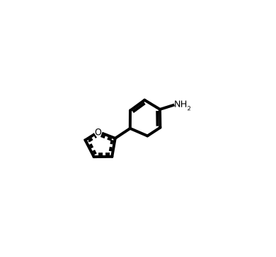 NC1=CCC(c2ccco2)C=C1